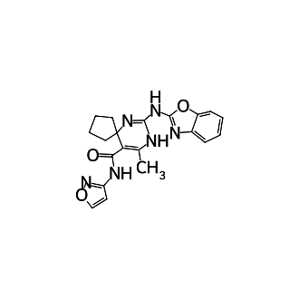 CC1=C(C(=O)Nc2ccon2)C2(CCCC2)N=C(Nc2nc3ccccc3o2)N1